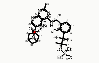 CC[Si](CC)(CC)OC(C)(C)C(F)(F)c1cccc([C@@H](C)Nc2nc(C)nc3ncc(N4CC5CC(C4)N5C(=O)OC(C)(C)C)cc23)c1F